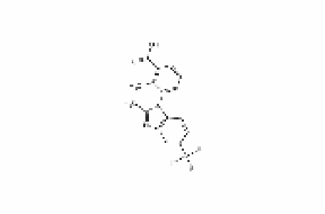 Cc1c(C(=O)O)cccc1-n1c(C)nc2cc(C(F)(F)F)ccc21